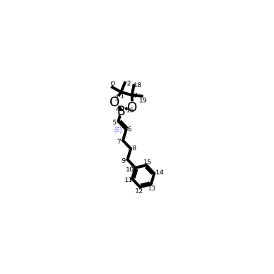 CC1(C)OB(/C=C/CCCc2ccccc2)OC1(C)C